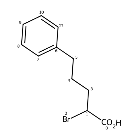 O=C(O)C(Br)CCCc1ccccc1